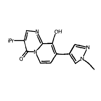 CC(C)c1cnc2c(O)c(-c3cnn(C)c3)ccn2c1=O